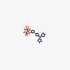 C=CC(=O)OC(C)c1ccc(-c2ccc(N(c3ccc(C)c(C)c3)c3ccc(C)c(C)c3)cc2)cc1C(C)OC(=O)C=C